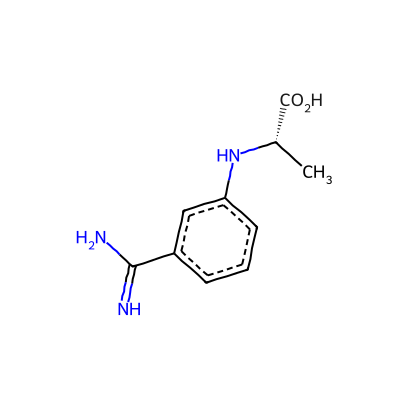 C[C@H](Nc1cccc(C(=N)N)c1)C(=O)O